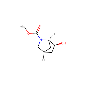 CC(C)(C)OC(=O)N1C[C@H]2C[C@@H]1[C@@H](O)C2